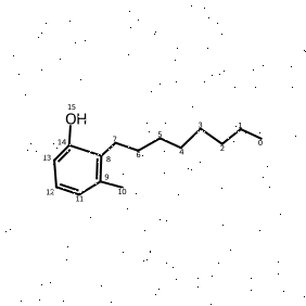 CCCCCCCCc1c(C)cccc1O